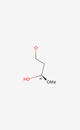 CO[C@@H](O)CC[O]